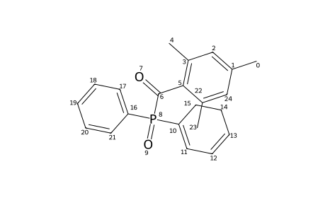 Cc1cc(C)c(C(=O)P(=O)(C2=CC=CCC2)c2ccccc2)c(C)c1